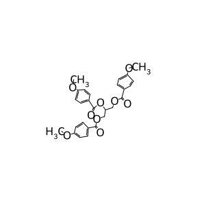 COc1ccc(C(=O)OCC(COC(=O)c2ccc(OC)cc2)OC(=O)c2ccc(OC)cc2)cc1